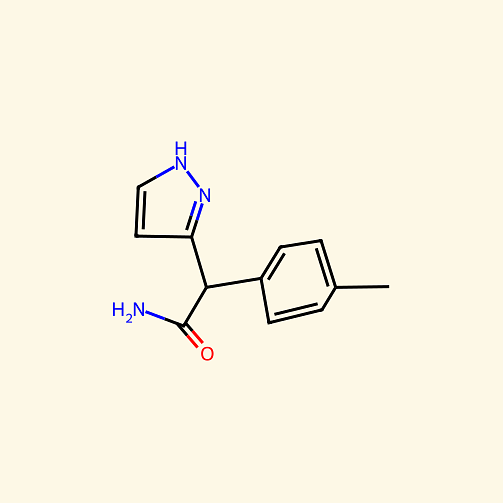 Cc1ccc(C(C(N)=O)c2cc[nH]n2)cc1